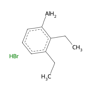 Br.CCc1ccc[c]([AlH2])c1CC